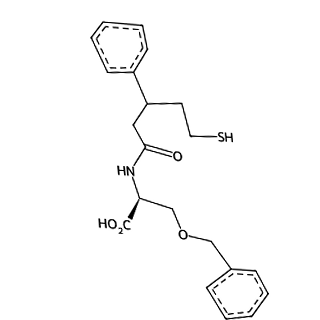 O=C(CC(CCS)c1ccccc1)N[C@@H](COCc1ccccc1)C(=O)O